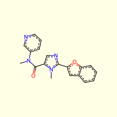 CN(C(=O)c1cnc(-c2cc3ccccc3o2)n1C)c1cccnc1